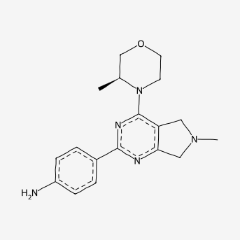 C[C@H]1COCCN1c1nc(-c2ccc(N)cc2)nc2c1CN(C)C2